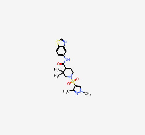 Cc1nn(C)cc1S(=O)(=O)N1CCC(C(=O)Nc2ccc3scnc3c2)C(C)(C)C1